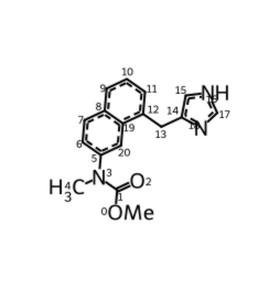 COC(=O)N(C)c1ccc2cccc(Cc3c[nH]cn3)c2c1